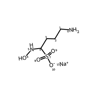 NCCCC(NO)S(=O)(=O)[O-].[Na+]